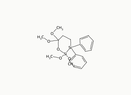 COC1(OC)CC[Si](c2ccccc2)(c2ccccc2)[Si](OC)(OC)O1